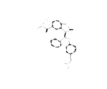 CCCCN(C)C(=O)c1ccc2c(c1)/C(=C(/Nc1ccc(CN(CC)CC)cc1)c1ccccc1)C(=O)N2